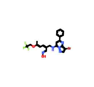 C\C(=C/C=C(\C=N\O)CNc1cc(-c2ccccc2)nc2c(Br)cnn12)OCC(F)(F)F